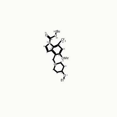 CCOC1CCN(Cc2c(OC)cc(C(F)(F)F)c3c2ccn3C(=O)OC(C)(C)C)CC1